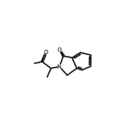 CC(=O)C(C)N1Cc2ccccc2C1=O